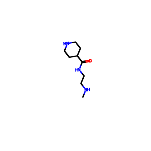 CNCCNC(=O)C1CCNCC1